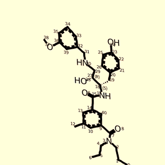 CCCN(CCC)C(=O)c1cc(C)cc(C(=O)N[C@@H](Cc2ccc(O)cc2)[C@H](O)CNCc2cccc(OC)c2)c1